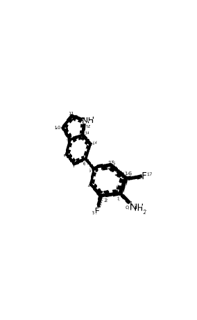 Nc1c(F)cc(-c2ccc3[c]c[nH]c3c2)cc1F